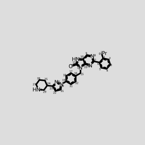 CC(C)c1ccccc1-c1ncc2[nH]c(=O)n(Cc3ccc(-n4ccc(C5CCCNC5)n4)cc3)c2n1